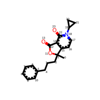 CC1(CCCc2ccccc2)OC(=O)c2c1ccn(C1CC1)c2=O